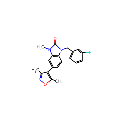 Cc1noc(C)c1-c1ccc2c(c1)n(C)c(=O)n2Cc1cccc(F)c1